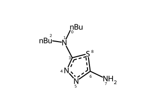 CCCCN(CCCC)c1nnc(N)s1